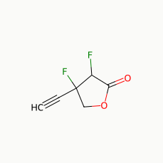 C#CC1(F)COC(=O)C1F